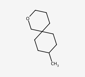 CC1CCC2(CCCOC2)CC1